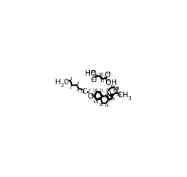 CCCCCCCCOc1ccc2c(c1)CCc1cc3n(c1-2)CCN=C3C.O=C(O)/C=C/C(=O)O